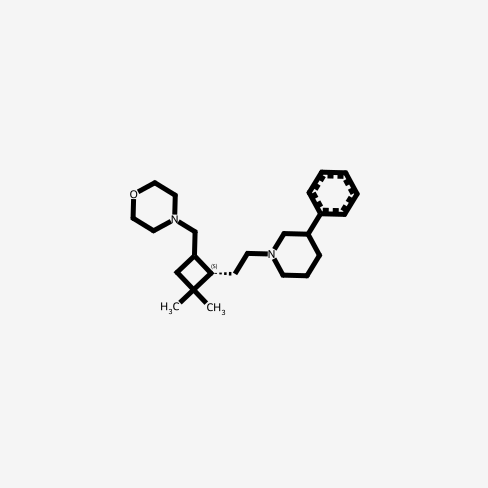 CC1(C)CC(CN2CCOCC2)[C@@H]1CCN1CCCC(c2ccccc2)C1